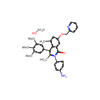 COc1cc(-c2c(C(=O)O)n(-c3ccc(N)cc3)c(=O)c3cc(OCc4ccccn4)cc(C)c23)cc(OC)c1OC.O=S(=O)(O)O